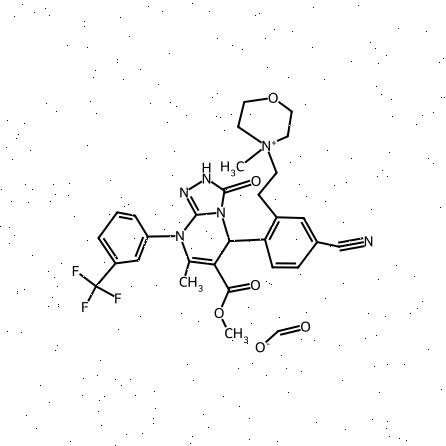 COC(=O)C1=C(C)N(c2cccc(C(F)(F)F)c2)c2n[nH]c(=O)n2C1c1ccc(C#N)cc1CC[N+]1(C)CCOCC1.O=C[O-]